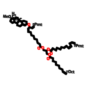 CCCCC/C=C\C/C=C\CCCCCCCC(=O)OC(COC(=O)CCCCCCC/C=C\CCCCCCCC)COC(=O)CCCCCCC/C=C\C(/C=C\CCCCC)OC1C=C2CCC3C(CCC4(C)C(OC)CCC34)C2(C)CC1